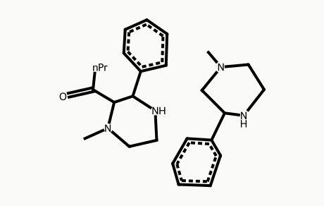 CCCC(=O)C1C(c2ccccc2)NCCN1C.CN1CCNC(c2ccccc2)C1